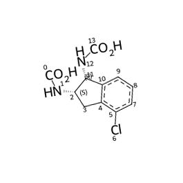 O=C(O)N[C@H]1Cc2c(Cl)cccc2[C@H]1NC(=O)O